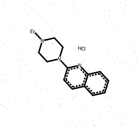 CCN1CCN(c2ccc3ccccc3n2)CC1.Cl